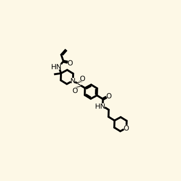 C=CC(=O)NC1(C)CCN(S(=O)(=O)c2ccc(C(=O)NCCC3CCOCC3)cc2)CC1